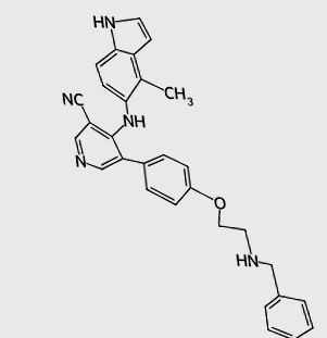 Cc1c(Nc2c(C#N)cncc2-c2ccc(OCCNCc3ccccc3)cc2)ccc2[nH]ccc12